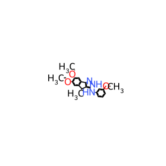 CCOc1cc2c(cc1OCC)C(C)c1c-2n[nH]c1Nc1cccc(OC)c1